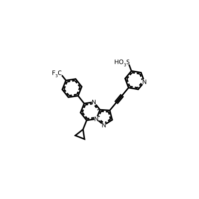 O=S(=O)(O)c1cncc(C#Cc2cnn3c(C4CC4)cc(-c4ccc(C(F)(F)F)cc4)nc23)c1